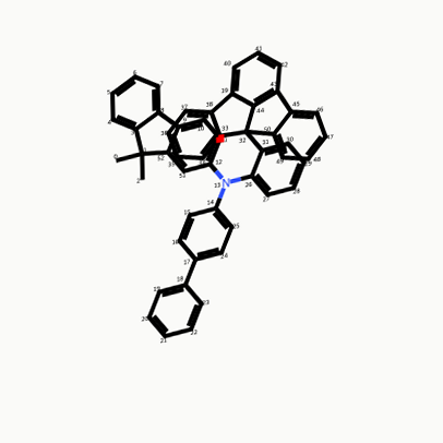 CC1(C)c2ccccc2-c2ccc(N(c3ccc(-c4ccccc4)cc3)c3ccccc3C34c5ccccc5-c5cccc(c53)-c3ccccc34)cc21